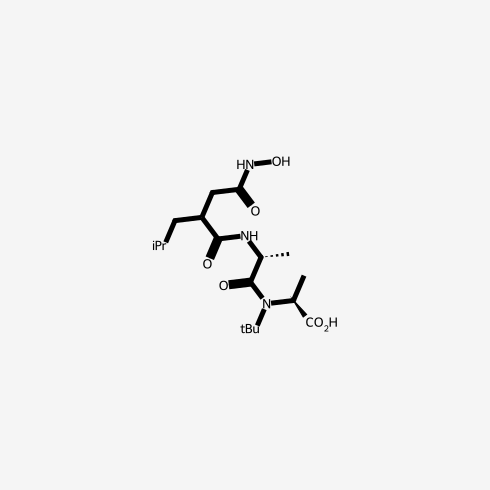 CC(C)CC(CC(=O)NO)C(=O)N[C@H](C)C(=O)N([C@@H](C)C(=O)O)C(C)(C)C